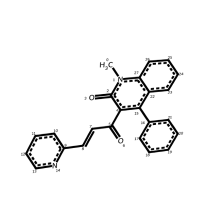 Cn1c(=O)c(C(=O)/C=C/c2ccccn2)c(-c2ccccc2)c2ccccc21